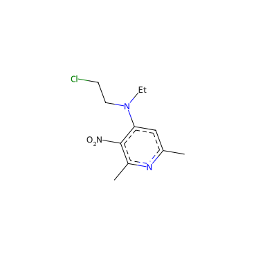 CCN(CCCl)c1cc(C)nc(C)c1[N+](=O)[O-]